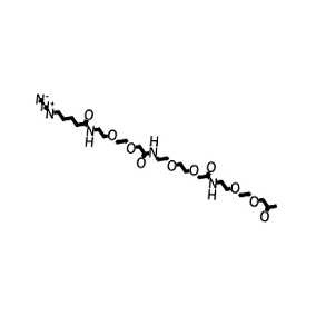 CC(=O)COCCOCCNC(=O)COCCOCCNC(=O)COCCOCCNC(=O)CCCCN=[N+]=[N-]